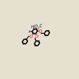 O=C(O)c1cc(OCc2ccccc2)c(OCc2ccccc2)c(OCc2ccccc2)c1I